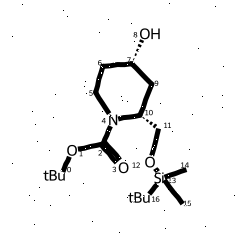 CC(C)(C)OC(=O)N1CC[C@H](O)C[C@@H]1CO[Si](C)(C)C(C)(C)C